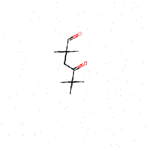 CC(C)([C]=O)CC(=O)C(C)(C)C